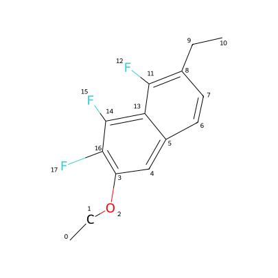 CCOc1cc2ccc(CC)c(F)c2c(F)c1F